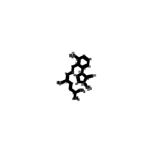 CC(C=CC(C)C)=NOCc1c(C)cccc1-n1nnn(C)c1=O